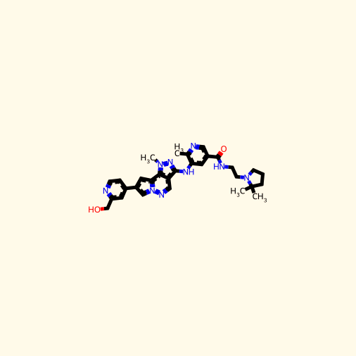 Cc1ncc(C(=O)NCCN2CCCC2(C)C)cc1Nc1nn(C)c2c1cnn1cc(-c3ccnc(CO)c3)cc21